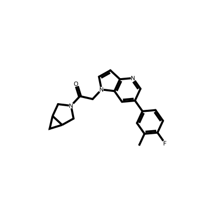 Cc1cc(-c2cnc3ccn(CC(=O)N4CC5CC5C4)c3c2)ccc1F